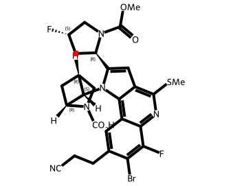 COC(=O)N1C[C@@H](F)C[C@@H]1c1cc2c(SC)nc3c(F)c(Br)c(CCC#N)cc3c2n1[C@H]1[C@@H]2C[C@H]1N(C(=O)O)C2